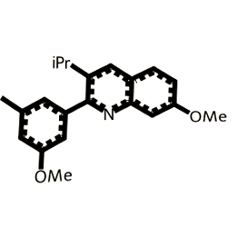 COc1cc(C)cc(-c2nc3cc(OC)ccc3cc2C(C)C)c1